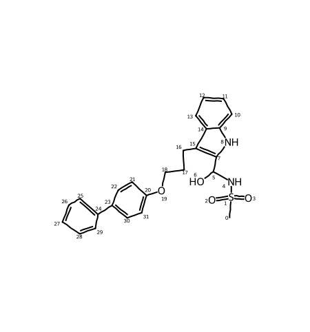 CS(=O)(=O)NC(O)c1[nH]c2ccccc2c1CCCOc1ccc(-c2ccccc2)cc1